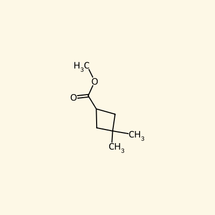 COC(=O)C1CC(C)(C)C1